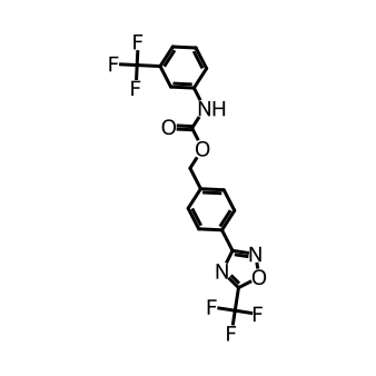 O=C(Nc1cccc(C(F)(F)F)c1)OCc1ccc(-c2noc(C(F)(F)F)n2)cc1